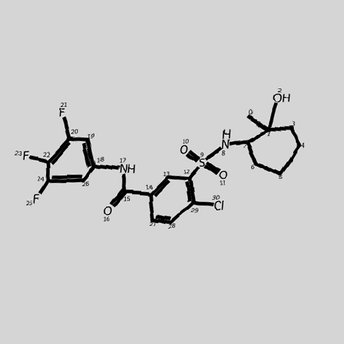 CC1(O)CCCCC1NS(=O)(=O)c1cc(C(=O)Nc2cc(F)c(F)c(F)c2)ccc1Cl